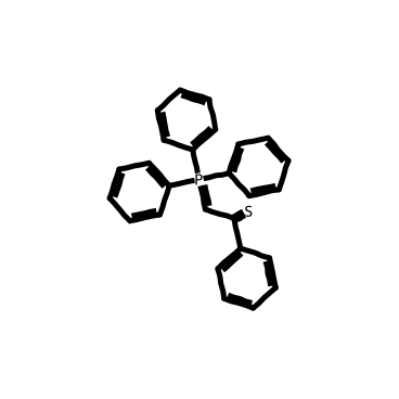 S=C(C=P(c1ccccc1)(c1ccccc1)c1ccccc1)c1ccccc1